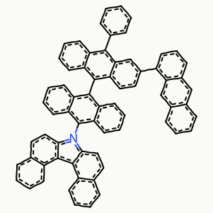 c1ccc(-c2c3ccccc3c(-c3c4ccccc4c(-n4c5ccc6ccccc6c5c5c6ccccc6ccc54)c4ccccc34)c3ccc(-c4cccc5cc6ccccc6cc45)cc23)cc1